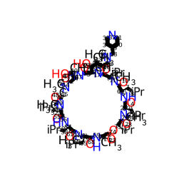 CC(C)C[C@@H]1C(=O)N[C@H](CC(C)C)C(=O)N(C)[C@H](C(C)C)C(=O)N(C)[C@H]([C@H](O)[C@H](C)CCN(C)Cc2ccncc2)C(=O)N[C@H]([C@@H](C)O)C(=O)N(C)CC(=O)N(C)[C@@H](CC(C)C)C(=O)N[C@H](CC(C)C)C(=O)N(C)[C@H](CC(C)C)C(=O)N[C@H](C)C(=O)O[C@@H](C(C)C)C(=O)N1C